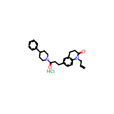 C=CCN1C(=O)CCc2cc(CCC(=O)N3CCC(c4ccccc4)CC3)ccc21.Cl